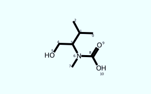 CC(C)C(CO)N(C)C(=O)O